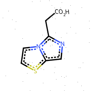 O=C(O)Cc1ncc2sccn12